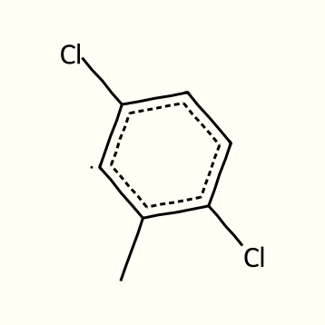 Cc1[c]c(Cl)ccc1Cl